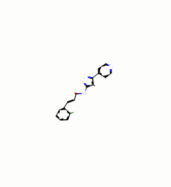 Cc1c(-c2ccncc2)n[nH]c1NC(=O)C=Cc1ccccc1Cl